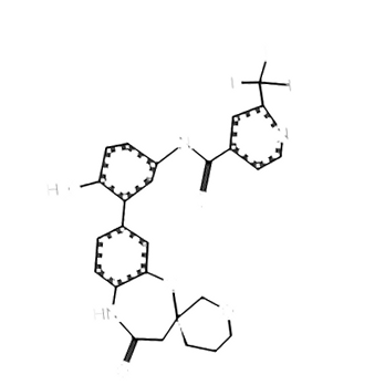 Cc1ccc(NC(=O)c2ccnc(C(F)(F)F)c2)cc1-c1ccc2c(c1)O[C@@]1(CCCOC1)CC(=O)N2